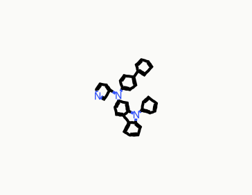 c1ccc(-c2ccc(N(c3cccnc3)c3ccc4c5ccccc5n(-c5ccccc5)c4c3)cc2)cc1